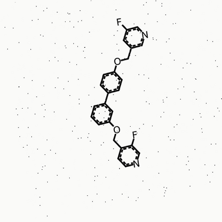 Fc1cncc(COc2ccc(-c3[c]ccc(OCc4ccncc4F)c3)cc2)c1